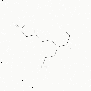 NCCN(CCNCP(=O)(O)O)C(CC(=O)O)C(=O)O